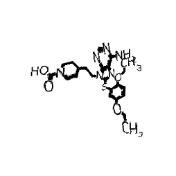 CCOc1ccc(OCC)c(Sc2nc3c(N)ncnc3n2CCC2CCN(C(=O)O)CC2)c1